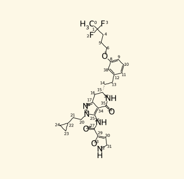 CC(F)(F)CCCOc1cccc(CC[C@H]2Cc3nn(CCC4CC4)c(NC(=O)C4=CCNO4)c3C(=O)N2)c1